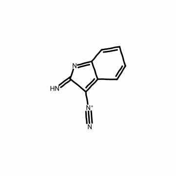 N#[N+]C1=c2ccccc2=NC1=N